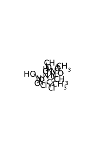 CCOC(=O)c1nc(-c2ccccc2OC)n2c1C(Nc1cc(Cl)c(=O)n(CCO)c1)C1=CC=C(Cl)C(C)C1=C2C